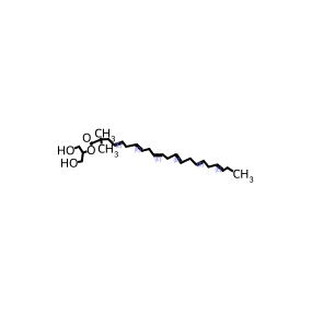 CC/C=C/C/C=C/C/C=C/C/C=C/C/C=C/C/C=C/CC(C)(C)C(=O)OC(CO)CO